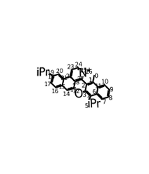 Cc1c2c(c(C(C)C)c3ccccc13)Oc1cc3ccc(C(C)C)cc3c3cc[n+](C)c-2c13